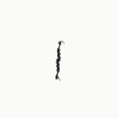 C=CC(=O)OCCCCCCOC(=O)Oc1ccc(C(=O)Oc2ccc(C(=O)O[C@H]3COC4C3OC[C@H]4OC(=O)c3ccc(OC(=O)c4ccc(OC(=O)OCCCCCCOC(=O)C=C)cc4)cc3)cc2)cc1